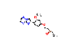 CC[S+]([O-])CCOc1ccc(-c2cn3nccnc3n2)c(OC)c1